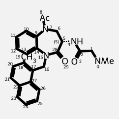 CNCC(=O)N[C@H]1CN(C(C)=O)c2ccccc2N(Cc2c(C)ccc3ccccc23)C1=O